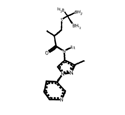 BC(B)(B)SCC(C)C(=O)N(CC)c1cn(-c2cccnc2)nc1C